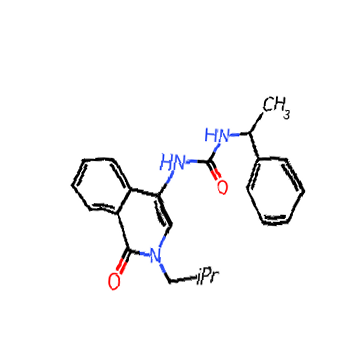 CC(C)Cn1cc(NC(=O)NC(C)c2ccccc2)c2ccccc2c1=O